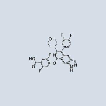 O=C(O)c1cc(F)c(Oc2nc(C3CCOCC3)c(-c3ccc(F)c(F)c3)c3cc4cn[nH]c4cc23)cc1F